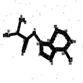 CCCCC(N)C(=O)On1cnc2c(Cl)ncnc21